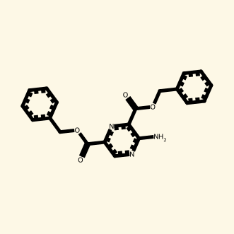 Nc1ncc(C(=O)OCc2ccccc2)nc1C(=O)OCc1ccccc1